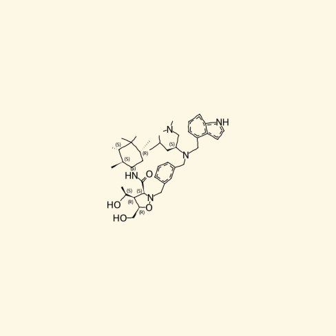 CC(C)C[C@@H](CN(C)C)N(Cc1cccc(CN2O[C@@H](CO)[C@@H]([C@H](C)O)[C@H]2C(=O)N[C@H]2C[C@@H](C)C(C)(C)[C@@H](C)[C@@H]2C)c1)Cc1cccc2[nH]ccc12